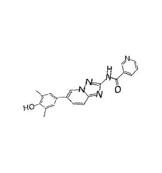 Cc1cc(-c2ccc3nc(NC(=O)c4cccnc4)nn3c2)cc(C)c1O